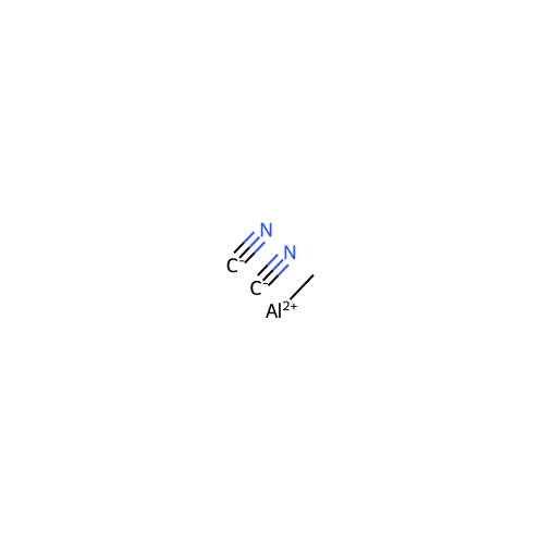 [C-]#N.[C-]#N.[CH3][Al+2]